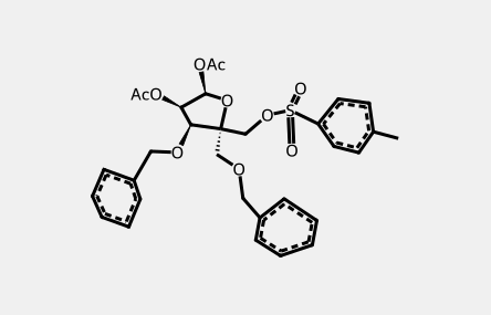 CC(=O)O[C@H]1O[C@@](COCc2ccccc2)(COS(=O)(=O)c2ccc(C)cc2)[C@@H](OCc2ccccc2)[C@H]1OC(C)=O